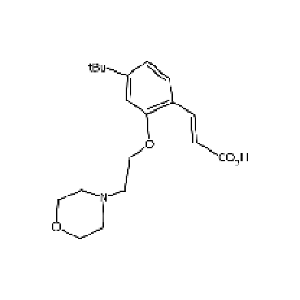 CC(C)(C)c1ccc(C=CC(=O)O)c(OCCN2CCOCC2)c1